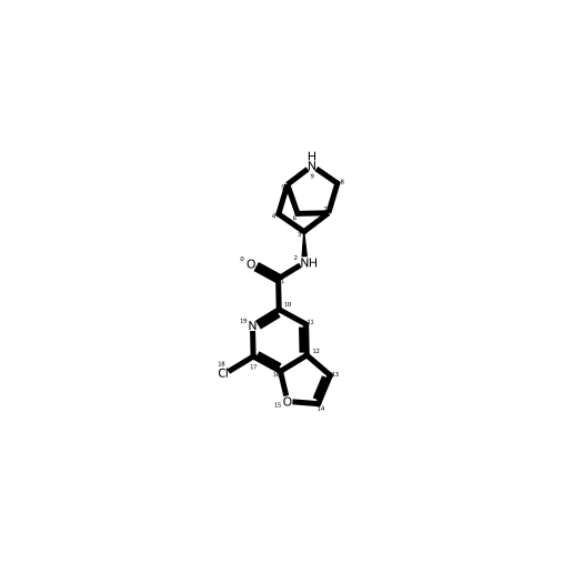 O=C(N[C@H]1CC2CC1CN2)c1cc2ccoc2c(Cl)n1